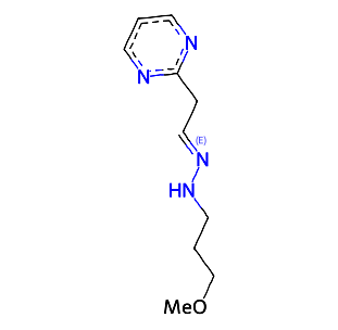 COCCCN/N=C/Cc1ncccn1